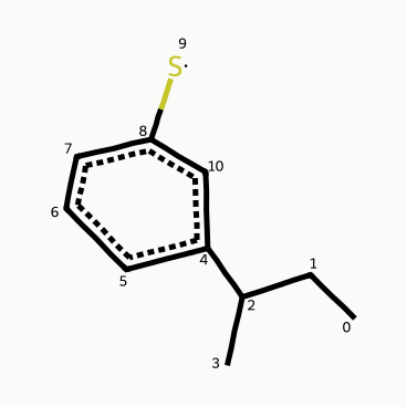 CCC(C)c1cccc([S])c1